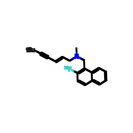 CN(C/C=C/C#CC(C)(C)C)Cc1c([18F])ccc2ccccc12